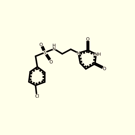 O=c1ccn(CCNS(=O)(=O)Cc2ccc(Cl)cc2)c(=O)[nH]1